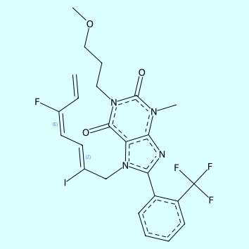 C=C/C(F)=C\C=C(/I)Cn1c(-c2ccccc2C(F)(F)F)nc2c1c(=O)n(CCCOC)c(=O)n2C